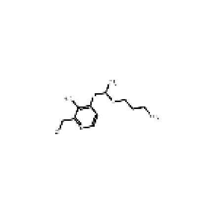 CCCCOC(C)Oc1ccnc(CCl)c1C